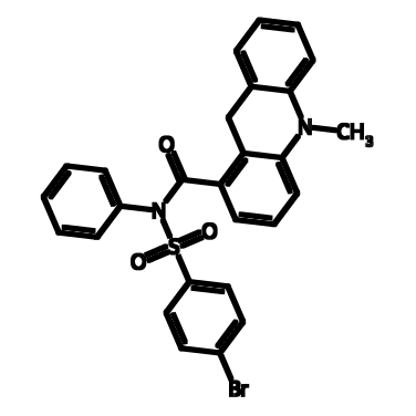 CN1c2ccccc2Cc2c(C(=O)N(c3ccccc3)S(=O)(=O)c3ccc(Br)cc3)cccc21